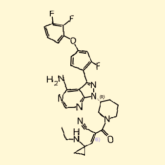 CCNC1(/C=C(\C#N)C(=O)N2CCC[C@@H](n3nc(-c4ccc(Oc5cccc(F)c5F)cc4F)c4c(N)ncnc43)C2)CC1